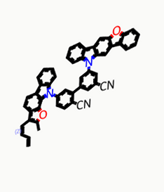 C=C/C=C\c1c(C)oc2c1ccc1c3ccccc3n(-c3ccc(C#N)c(-c4cc(C#N)cc(-n5c6ccccc6c6cc7oc8ccccc8c7cc65)c4)c3)c12